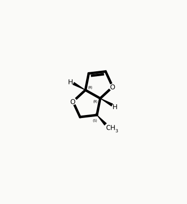 C[C@H]1CO[C@@H]2C=CO[C@H]12